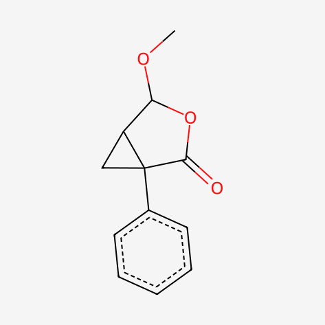 COC1OC(=O)C2(c3ccccc3)CC12